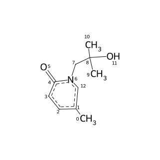 Cc1ccc(=O)n(CC(C)(C)O)c1